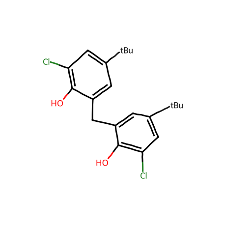 CC(C)(C)c1cc(Cl)c(O)c(Cc2cc(C(C)(C)C)cc(Cl)c2O)c1